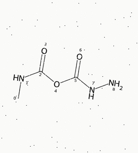 CNC(=O)OC(=O)NN